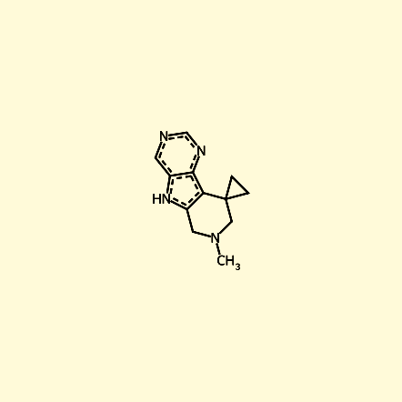 CN1Cc2[nH]c3cncnc3c2C2(CC2)C1